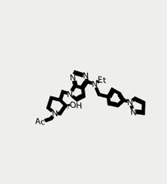 CCN(Cc1ccc(-n2cccn2)cc1)c1ncnc2c1ccn2CC1CCN(CC(C)=O)C[C@@H]1O